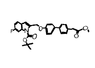 COC(=O)Cc1ccc(-c2ccc(OCc3cc4ccc(F)cc4n3C(=O)OC(C)(C)C)cc2)cc1